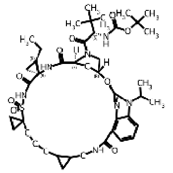 CC[C@@H]1C[C@@]12NC(=O)[C@@H]1C[C@H](CN1C(=O)[C@@H](NC(=O)OC(C)(C)C)C(C)(C)C)Oc1nc3c(cccc3n1C(C)C)C(=O)NCC1CC1CCCC1(CC1)S(=O)(=O)NC2=O